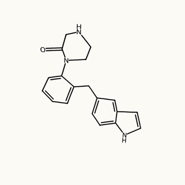 O=C1CNCCN1c1ccccc1Cc1ccc2[nH]ccc2c1